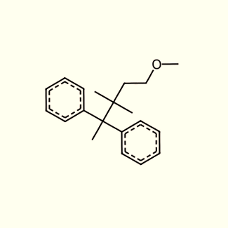 COCCC(C)(C)C(C)(c1ccccc1)c1ccccc1